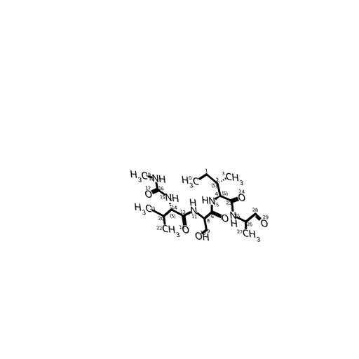 CC[C@H](C)[C@H](NC(=O)C(CO)NC(=O)[C@@H](NC(=O)NC)C(C)C)C(=O)NC(C)C=O